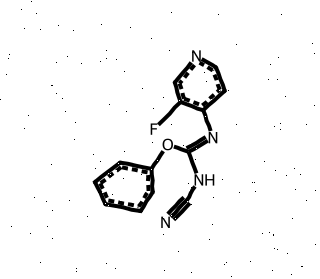 N#CNC(=Nc1ccncc1F)Oc1ccccc1